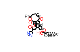 CC[C@H]1CCCC[C@@H](C)C(=O)C2=CC3[C@@H]4C[C@H](OC(O)[C@H](COC)OC)CC4C4C=C(c5cncnc5)C(=O)OC4[C@H]3[C@@H]2CC(=O)O1